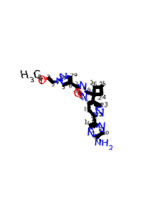 COCCn1cc(-c2nc(C3(c4ccc(-c5cnc(N)cn5)nc4)CCC3)no2)cn1